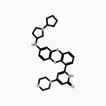 O=c1cc(N2CCOCC2)cc(-c2cccc3c2Sc2ccc(NC4CCN(C5CCCC5)C4)cc2S3)[nH]1